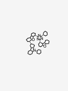 c1ccc(-c2nc(-c3cccc4c3oc3c(-c5ccc6c(c5)c5ccccc5n6-c5ccccc5)cccc34)nc(-c3cccc4oc5ccccc5c34)n2)cc1